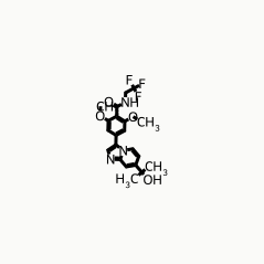 COc1cc(-c2cnc3cc(C(C)(C)O)ccn23)cc(OC)c1C(=O)NCC(F)(F)F